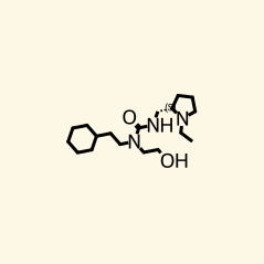 CCN1CCC[C@H]1CNC(=O)N(CCO)CCC1CCCCC1